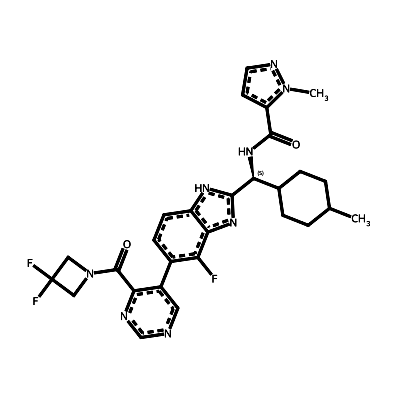 CC1CCC([C@H](NC(=O)c2ccnn2C)c2nc3c(F)c(-c4cncnc4C(=O)N4CC(F)(F)C4)ccc3[nH]2)CC1